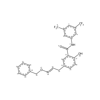 O=C(Nc1cc(C(F)(F)F)cc(C(F)(F)F)c1)c1cc(CC=NOCc2ccccc2)ccc1O